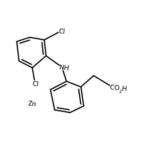 O=C(O)Cc1ccccc1Nc1c(Cl)cccc1Cl.[Zn]